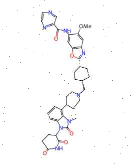 COc1cc2nc([C@H]3CC[C@H](CN4CCC(c5cccc6c5n(C)c(=O)n6C5CCC(=O)NC5=O)CC4)CC3)oc2cc1NC(=O)c1cnccn1